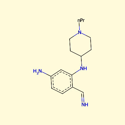 CCCN1CCC(Nc2cc(N)ccc2C=N)CC1